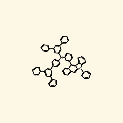 c1ccc(-c2cc(-c3ccccc3)cc(-c3ccc(N(c4cc(-c5ccccc5)cc(-c5ccccc5)c4)c4cccc(-c5c6ccccc6cc6c5c5ccccc5n6-c5ccccc5)c4)cc3)c2)cc1